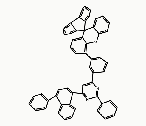 c1ccc(-c2nc(-c3cccc(-c4cccc5c4Sc4ccccc4C54c5ccccc5-c5ccccc54)c3)cc(-c3ccc(-c4ccccc4)c4ccccc34)n2)cc1